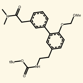 COCOc1ccc(CCNC(=O)OC(C)(C)C)cc1-c1cccc(CC(=O)N(C)C)c1